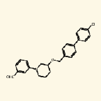 O=Cc1cccc(N2CCCC(OCc3ccc(-c4ccc(Cl)cc4)cc3)C2)c1